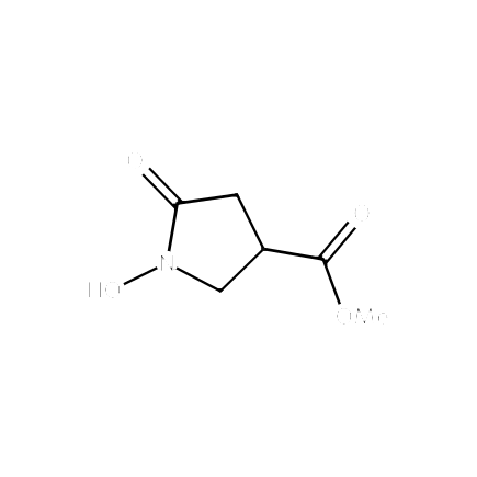 COC(=O)C1CC(=O)N(O)C1